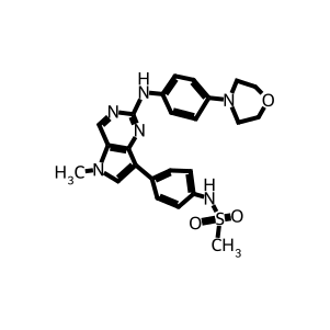 Cn1cc(-c2ccc(NS(C)(=O)=O)cc2)c2nc(Nc3ccc(N4CCOCC4)cc3)ncc21